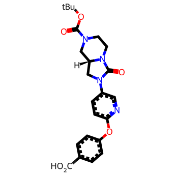 CC(C)(C)OC(=O)N1CCN2C(=O)N(c3ccc(Oc4ccc(C(=O)O)cc4)nc3)C[C@@H]2C1